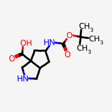 CC(C)(C)OC(=O)NC1CC2CNCC2(C(=O)O)C1